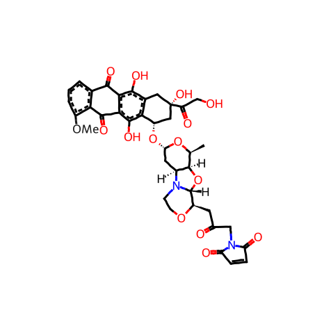 COc1cccc2c1C(=O)c1c(O)c3c(c(O)c1C2=O)C[C@@](O)(C(=O)CO)C[C@@H]3O[C@H]1C[C@H]2[C@H](O[C@@H]3[C@@H](CC(=O)CN4C(=O)C=CC4=O)OCCN32)[C@H](C)O1